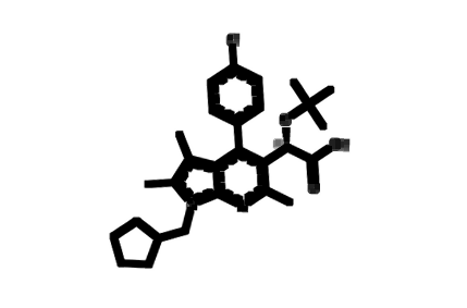 Cc1nc2c(c(C)c(C)n2CC2CCCC2)c(-c2ccc(Cl)cc2)c1[C@H](OC(C)(C)C)C(=O)O